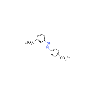 CCOC(=O)c1ccc([N]Nc2cccc(C(=O)OCC)c2)cc1